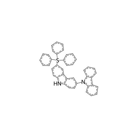 c1ccc(S(c2ccccc2)(c2ccccc2)c2ccc3[nH]c4ccc(-n5c6ccccc6c6ccccc65)cc4c3c2)cc1